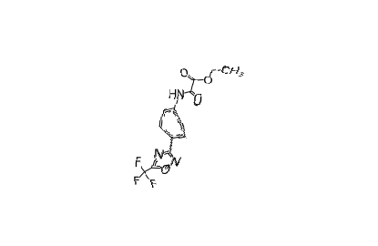 CCOC(=O)C(=O)Nc1ccc(-c2noc(C(F)(F)F)n2)cc1